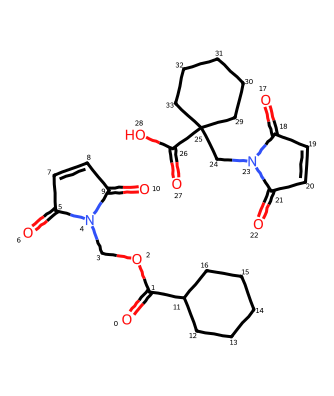 O=C(OCN1C(=O)C=CC1=O)C1CCCCC1.O=C1C=CC(=O)N1CC1(C(=O)O)CCCCC1